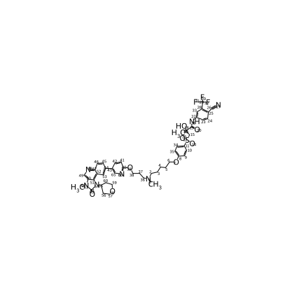 CN(CCCCCOc1ccc(S(=O)(=O)C[C@](C)(O)C(=O)Nc2ccc(C#N)c(C(F)(F)F)c2)cc1)CCCOc1ccc(-c2ccc3ncc4c(c3c2)n(C2CCOCC2)c(=O)n4C)cn1